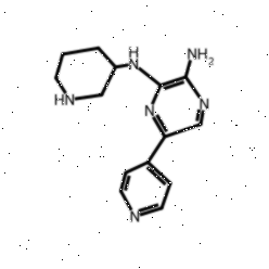 Nc1ncc(-c2ccncc2)nc1NC1CCCNC1